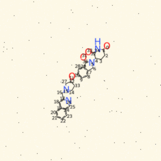 O=C1CCC(N2Cc3ccc(OC4CCN(Cc5cc6ccccc6cn5)C4)cc3C2=O)C(=O)N1